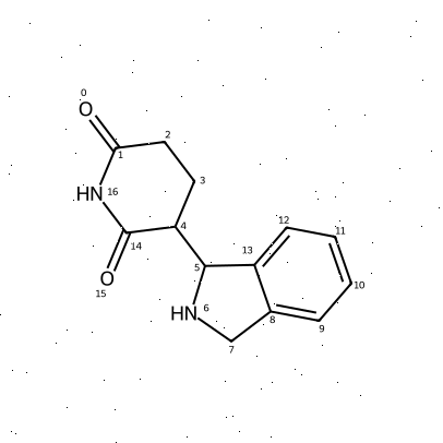 O=C1CCC(C2NCc3ccccc32)C(=O)N1